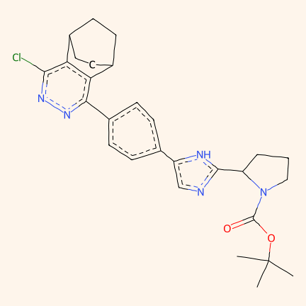 CC(C)(C)OC(=O)N1CCCC1c1ncc(-c2ccc(-c3nnc(Cl)c4c3C3CCC4CC3)cc2)[nH]1